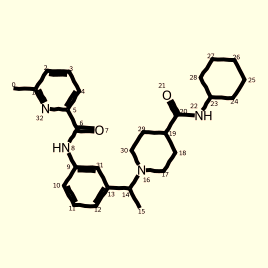 Cc1cccc(C(=O)Nc2cccc(C(C)N3CCC(C(=O)NC4CCCCC4)CC3)c2)n1